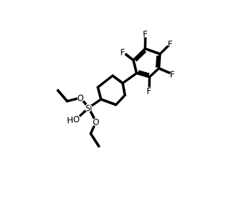 CCO[Si](O)(OCC)C1CCC(c2c(F)c(F)c(F)c(F)c2F)CC1